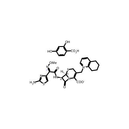 CO/N=C(\C(=O)N[C@@H]1C(=O)N2C(C(=O)[O-])=C(C[n+]3cccc4c3CCCC4)CS[C@H]12)c1csc(N)n1.O=C(O)c1ccc(O)cc1O